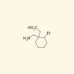 CCC1CCCCC1(CN)CC(=O)O